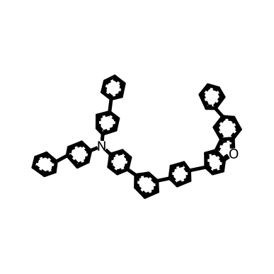 c1ccc(-c2ccc(N(c3ccc(-c4ccccc4)cc3)c3ccc(-c4cccc(-c5ccc(-c6ccc7oc8ccc(-c9ccccc9)cc8c7c6)cc5)c4)cc3)cc2)cc1